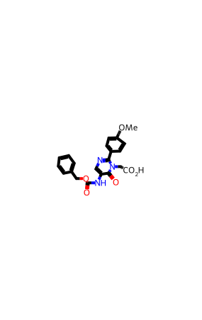 COc1ccc(-c2ncc(NC(=O)OCc3ccccc3)c(=O)n2CC(=O)O)cc1